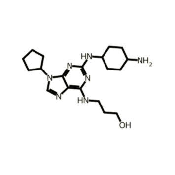 NC1CCC(Nc2nc(NCCCO)c3ncn(C4CCCC4)c3n2)CC1